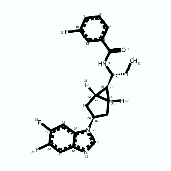 CC[C@@H](NC(=O)c1cccc(F)c1)[C@H]1[C@@H]2C[C@@H](n3cnc4cc(F)c(F)cc43)C[C@@H]21